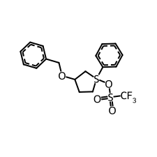 O=S(=O)(OS1(c2ccccc2)CCC(OCc2ccccc2)C1)C(F)(F)F